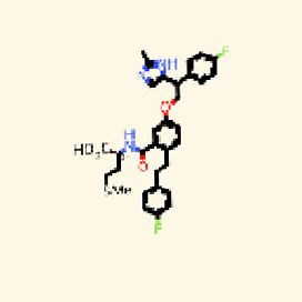 CSCC[C@H](NC(=O)c1cc(OCC(c2ccc(F)cc2)c2cnc(C)[nH]2)ccc1CCc1ccc(F)cc1)C(=O)O